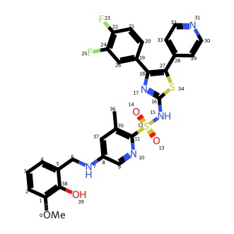 COc1cccc(CNc2cnc(S(=O)(=O)Nc3nc(-c4ccc(F)c(F)c4)c(-c4ccncc4)s3)c(C)c2)c1O